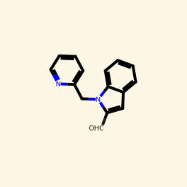 O=Cc1cc2ccccc2n1Cc1ccccn1